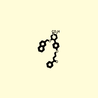 O=C(CCCOc1ccc(C2CCN(C(=O)O)CC2OCc2ccc3ccccc3c2)cc1)c1ccccc1